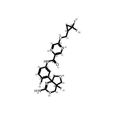 NC1=NC2(c3cc(NC(=O)c4cnc(OCC5CC5(F)F)cn4)ccc3F)COCC2(F)CS1